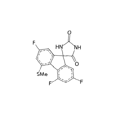 CSc1cc(F)cc2c1-c1c(F)cc(F)cc1C21NC(=O)NC1=O